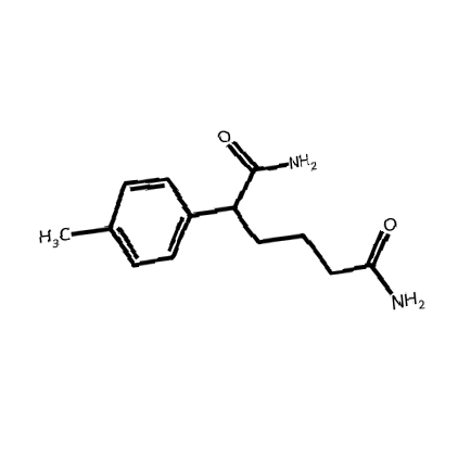 Cc1ccc(C(CCCC(N)=O)C(N)=O)cc1